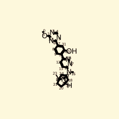 COc1ncnc(-c2ccc(-c3ccc(N(C)[C@H]4C[C@@H]5CC[C@](C)(C4)N5C)nn3)c(O)c2)n1